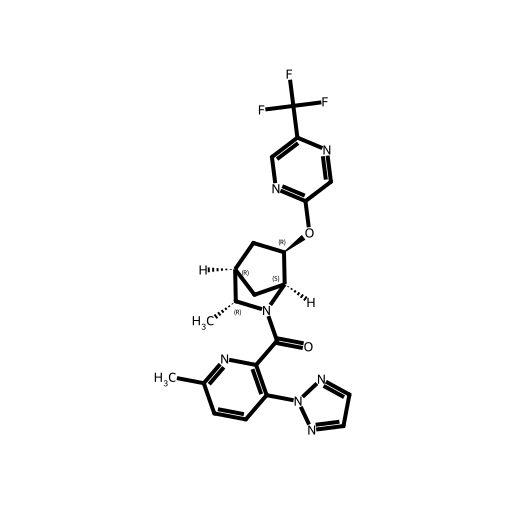 Cc1ccc(-n2nccn2)c(C(=O)N2[C@H](C)[C@H]3C[C@@H](Oc4cnc(C(F)(F)F)cn4)[C@@H]2C3)n1